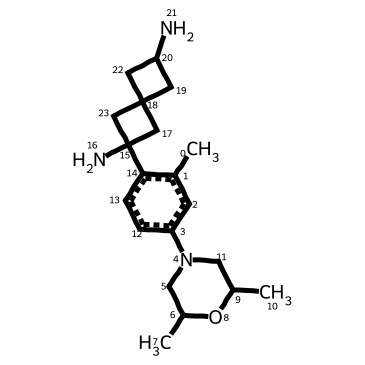 Cc1cc(N2CC(C)OC(C)C2)ccc1C1(N)CC2(CC(N)C2)C1